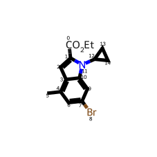 CCOC(=O)c1cc2c(C)cc(Br)cc2n1C1CC1